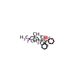 CC(C)(I)CC(C)(C)CCC(C)(C)[Si](O)(c1ccccc1)c1ccccc1